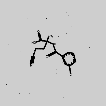 CC(CCC#N)(NC(=O)c1cccc(Cl)c1)C(=O)O